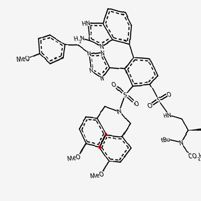 COc1ccc(CN(Cc2ccc(OC)cc2)S(=O)(=O)c2c(S(=O)(=O)NC[C@@H](C)N(C(=O)O)C(C)(C)C)ccc(-c3cccc4[nH]c(N)nc34)c2-c2nnn(Cc3ccc(OC)cc3)n2)cc1